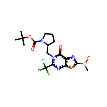 C[S+]([O-])c1nc2c(=O)n(C[C@@H]3CCCN3C(=O)OC(C)(C)C)c(C(F)(F)F)nc2s1